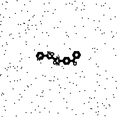 O=C(c1ccccc1)c1ccc(-c2noc(C3CC(c4cccnc4)=NO3)n2)cc1